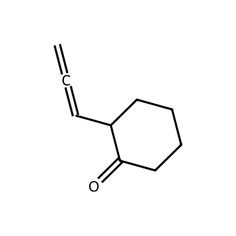 C=C=CC1CCCCC1=O